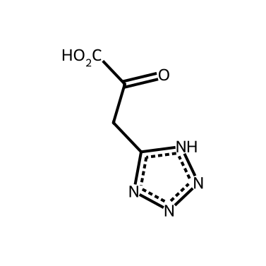 O=C(O)C(=O)Cc1nnn[nH]1